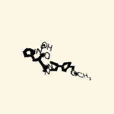 COCc1ccc(-c2ccn3c(C(Cc4ccccc4)C(=O)NO)cnc3c2)cc1